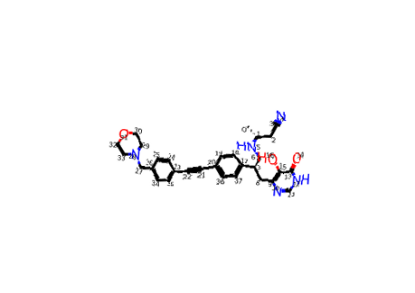 C[C@H](CC#N)NC[C@@H](Cc1nc[nH]c(=O)c1O)c1ccc(C#Cc2ccc(CN3CCOCC3)cc2)cc1